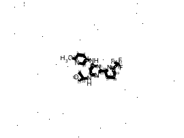 Cc1ccc(Nc2cc(NC3COC3)nc(-c3cccc(C(F)(F)F)n3)n2)cn1